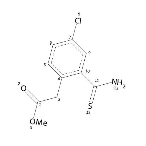 COC(=O)Cc1c[c]c(Cl)cc1C(N)=S